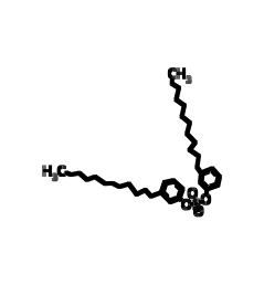 CCCCCCCCCCCCc1cccc(OS(=O)(=O)Oc2cccc(CCCCCCCCCCCC)c2)c1